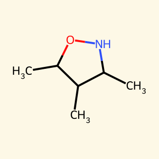 CC1NOC(C)C1C